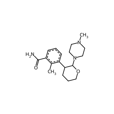 Cc1c(C(N)=O)cccc1C1CCCOC1N1CCN(C)CC1